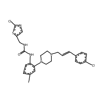 O=C(NCc1cnc(Cl)s1)Nc1ccc(F)cc1N1CCN(C/C=C/c2ccc(Cl)cc2)CC1